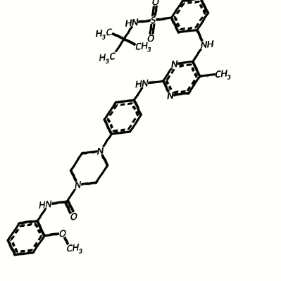 COc1ccccc1NC(=O)N1CCN(c2ccc(Nc3ncc(C)c(Nc4cccc(S(=O)(=O)NC(C)(C)C)c4)n3)cc2)CC1